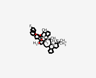 C=C1CC2C(CCc3ccc4c(oc5cc(-c6ccc(F)cc6)ccc54)c3-c3n4c5c(cccc5[n+]31)C(C)c1cc(-c3ccccc3)cc(C(C)C)c1-4)c1ccccc1-c1ccc([Si](C)(C)C)c[n+]12